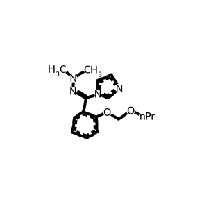 CCCOCOc1ccccc1C(=NN(C)C)n1ccnc1